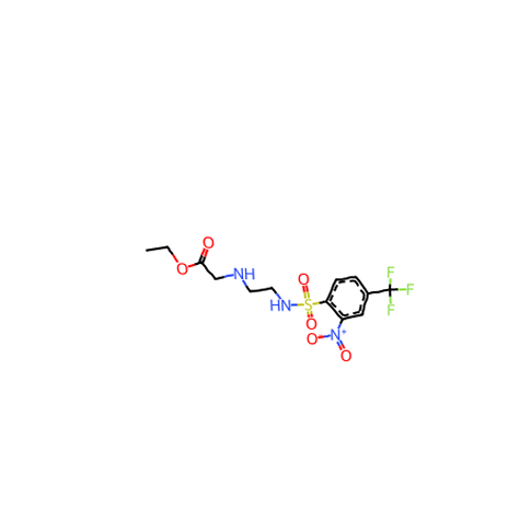 CCOC(=O)CNCCNS(=O)(=O)c1ccc(C(F)(F)F)cc1[N+](=O)[O-]